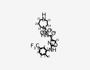 Cc1ccc(C(F)(F)F)cc1Nc1nc(C(=O)NS(=O)(=O)N2CCCNCC2)co1